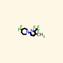 Cc1ccc(N2CCCC(F)(F)CC2)nc1C(F)(F)F